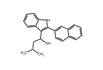 CN(C)CC(O)c1c(-c2ccc3ccccc3c2)[nH]c2ccccc12